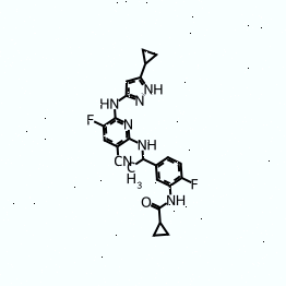 CC(Nc1nc(Nc2cc(C3CC3)[nH]n2)c(F)cc1C#N)c1ccc(F)c(NC(=O)C2CC2)c1